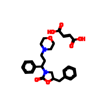 O=C(O)C=CC(=O)O.O=C1OC(Cc2ccccc2)CN1C(CCN1CCOCC1)c1ccccc1